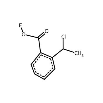 CC(Cl)c1ccccc1C(=O)OF